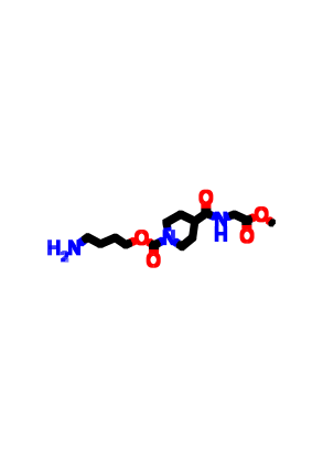 COC(=O)CNC(=O)C1CCN(C(=O)OCCCCN)CC1